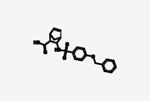 O=C(O)C1C2C=CC(C2)C1NS(=O)(=O)c1ccc(OCc2ccccc2)cc1